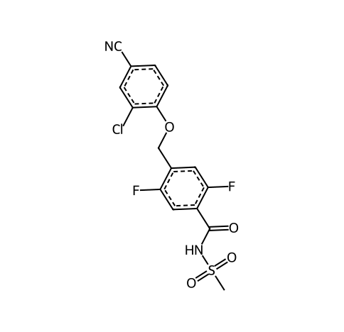 CS(=O)(=O)NC(=O)c1cc(F)c(COc2ccc(C#N)cc2Cl)cc1F